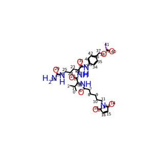 CC(C)[C@H](NC(=O)CCCCCN1C(=O)C=CC1=O)C(=O)N[C@@H](CCCNC(N)=O)C(=O)Nc1ccc(COC(=O)I)cc1